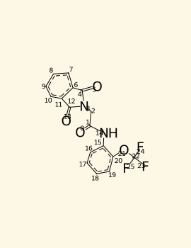 O=C(CN1C(=O)c2ccccc2C1=O)Nc1ccccc1OC(F)(F)F